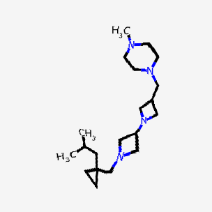 CC(C)CC1(CN2CC(N3CC(CN4CCN(C)CC4)C3)C2)CC1